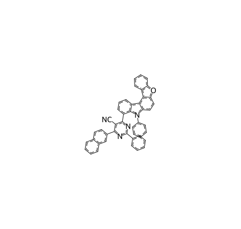 N#Cc1c(-c2ccc3ccccc3c2)nc(-c2ccccc2)nc1-c1cccc2c3c4c(ccc3n(-c3ccccc3)c12)oc1ccccc14